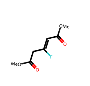 COC(=O)C=C(F)CC(=O)OC